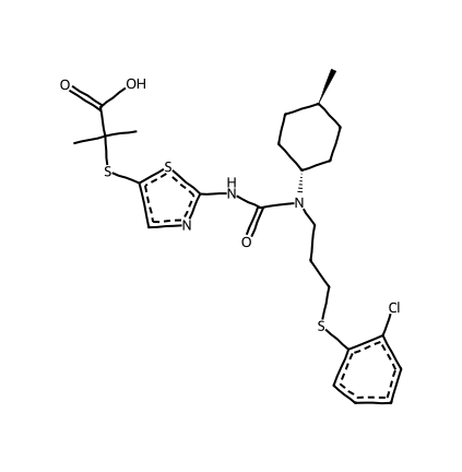 CC(C)(Sc1cnc(NC(=O)N(CCCSc2ccccc2Cl)[C@H]2CC[C@H](C)CC2)s1)C(=O)O